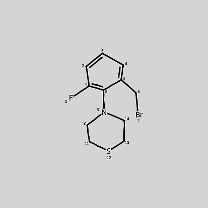 Fc1cccc(CBr)c1N1CCSCC1